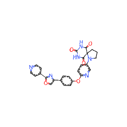 O=C1NC(=O)C2(CCCN2c2ccc(Oc3ccc(-c4coc(-c5ccncc5)n4)cc3)nc2)C(=O)N1